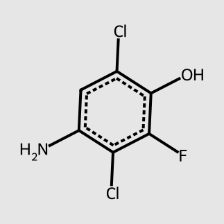 Nc1cc(Cl)c(O)c(F)c1Cl